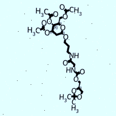 CC(=O)OC[C@H]1O[C@@H](OCCCNC(=O)CNC(=O)OC[C@H]2COC(C)(C)O2)C[C@@H](OC(C)=O)[C@H]1OC(C)=O